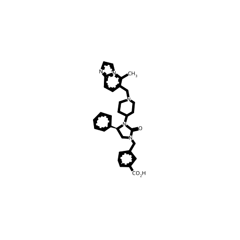 Cc1c(CN2CCC(N3C(=O)N(Cc4cccc(C(=O)O)c4)C[C@H]3c3ccccc3)CC2)ccc2nccn12